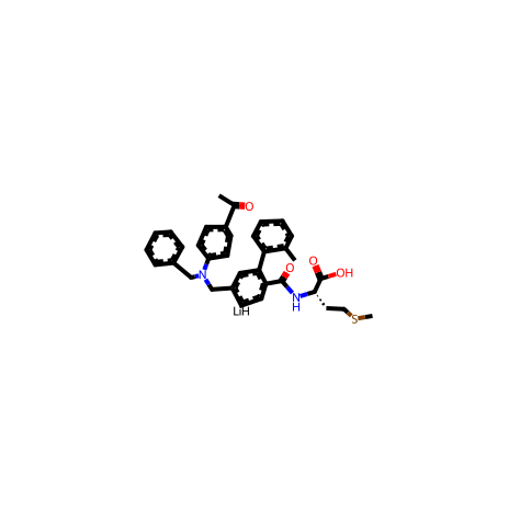 CSCC[C@H](NC(=O)c1ccc(CN(Cc2ccccc2)c2ccc(C(C)=O)cc2)cc1-c1ccccc1C)C(=O)O.[LiH]